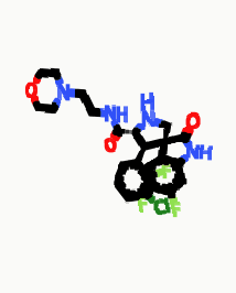 O=C(NCCN1CCOCC1)[C@@H]1NC[C@]2(C(=O)Nc3cc(F)c(F)cc32)[C@H]1c1cccc(Cl)c1F